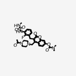 CNS(=O)(=O)Nc1cccc(Cc2c(CN3CCN(C(C)=O)CC3)c3ccc(OC(=O)N(C)C)cc3oc2=O)c1F